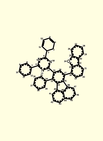 C1=CCC(c2nc(-c3ccccc3)nc(-c3cc(-c4cccc5c4oc4ccccc45)c4c(c3-c3ccccc3)-c3cccc5cccc-4c35)n2)C=C1